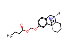 CCCC(=O)OCOc1ccc2c(c1)[C@]13CCCC[C@@H]1[C@H](C2)NCC3